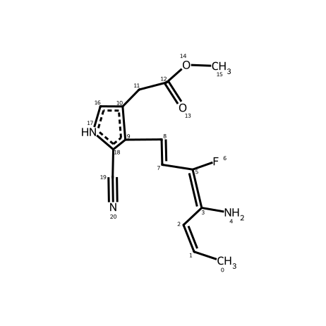 C\C=C/C(N)=C(F)\C=C\c1c(CC(=O)OC)c[nH]c1C#N